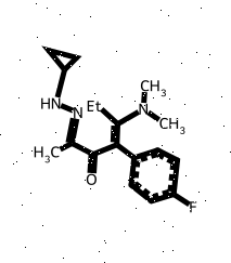 CCC(=C(C(=O)C(C)=NNC1CC1)c1ccc(F)cc1)N(C)C